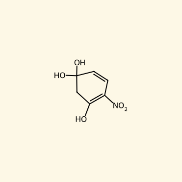 O=[N+]([O-])C1=C(O)CC(O)(O)C=C1